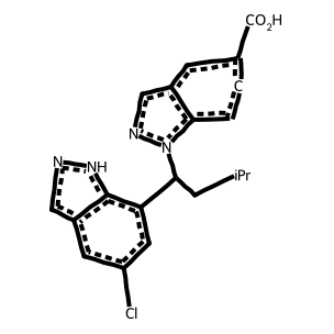 CC(C)CC(c1cc(Cl)cc2cn[nH]c12)n1ncc2cc(C(=O)O)ccc21